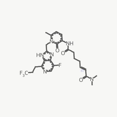 Cc1ccc(NC(=O)CCC/C=C/C(=O)N(C)C)c(=O)n1Cc1nc2c(F)cnc(CCC(F)(F)F)c2[nH]1